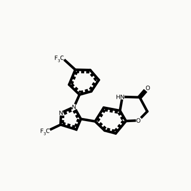 O=C1COc2ccc(-c3cc(C(F)(F)F)nn3-c3cccc(C(F)(F)F)c3)cc2N1